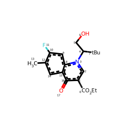 CCOC(=O)c1cn(C(CO)C(C)(C)C)c2cc(F)c(C)cc2c1=O